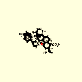 CC(C)[C@@H](C)[C@@]1(C)CC[C@]2(C)[C@H]3CC[C@@H]4[C@@]5(COC[C@@]4(C)[C@@H](OC[C@](C)(N)C(C)(C)C)[C@H](n4ncnc4-c4ccc(O)cc4)C5)C3=CC[C@@]2(C)[C@@H]1C(=O)O